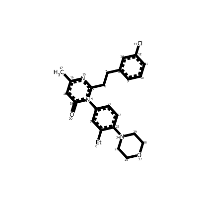 CCc1cc(-n2c(CCc3cccc(Cl)c3)nc(C)cc2=O)ccc1N1CCOCC1